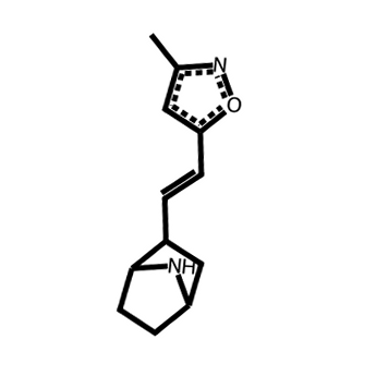 Cc1cc(C=CC2CC3CCC2N3)on1